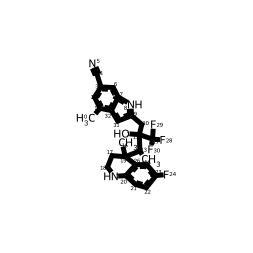 Cc1cc(C#N)cc2[nH]c(CC(O)(C(C)C3(C)CCNc4ccc(F)cc43)C(F)(F)F)cc12